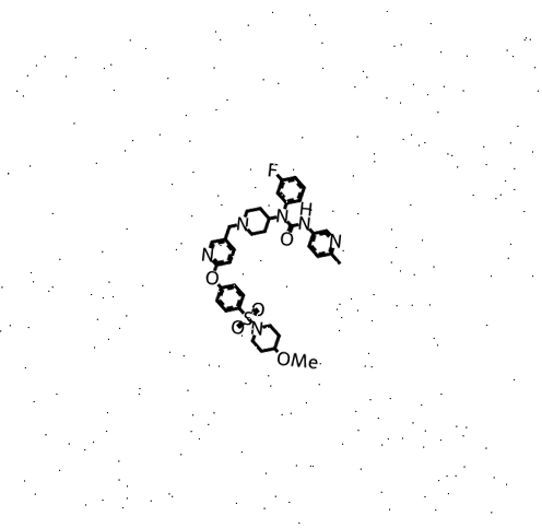 COC1CCN(S(=O)(=O)c2ccc(Oc3ccc(CN4CCC(N(C(=O)Nc5ccc(C)nc5)c5cccc(F)c5)CC4)cn3)cc2)CC1